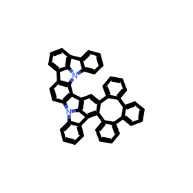 c1ccc2c(c1)-c1ccccc1-c1cc3c4c(ccc5c6cccc7c8ccccc8n(c76)c54)n4c5ccccc5c(c1-c1ccccc1-2)c34